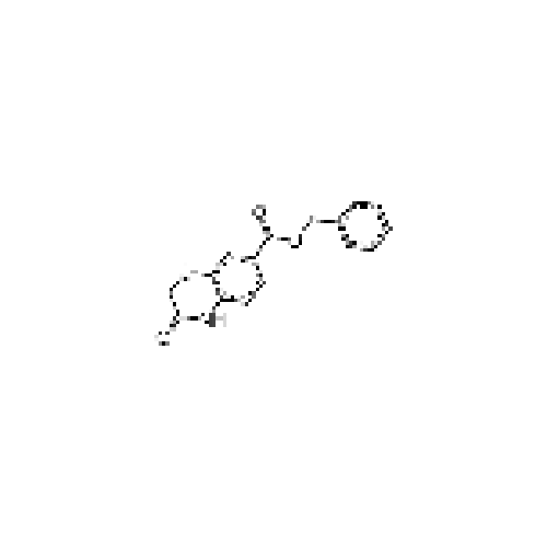 O=C1COc2cc(C(=O)OCc3ccccc3)ccc2N1